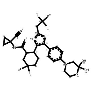 N#CC1(NC(=O)C2CC(F)(F)CCC2c2oc(CC(F)(F)F)nc2-c2ccc(N3CCSC(O)(O)C3)cc2)CC1